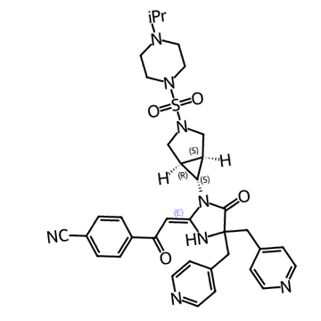 CC(C)N1CCN(S(=O)(=O)N2C[C@@H]3[C@H](C2)[C@H]3N2C(=O)C(Cc3ccncc3)(Cc3ccncc3)N/C2=C\C(=O)c2ccc(C#N)cc2)CC1